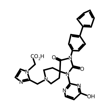 O=C(O)Cn1ccnc1CN1CCC2(CC1)C(=O)N(c1ccc(-c3ccccc3)cc1)C(=O)N2c1nccc(O)n1